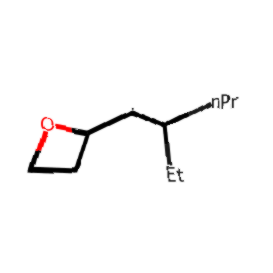 CCCC([CH]C1CCO1)CC